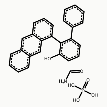 NC=O.O=P(O)(O)O.Oc1cccc(-c2ccccc2)c1-c1cccc2cc3ccccc3cc12